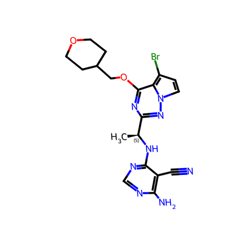 C[C@H](Nc1ncnc(N)c1C#N)c1nc(OCC2CCOCC2)c2c(Br)ccn2n1